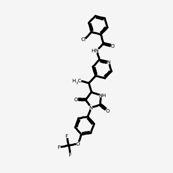 CC(c1ccnc(NC(=O)c2ccccc2Cl)c1)C1NC(=O)N(c2ccc(OC(F)(F)F)cc2)C1=O